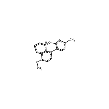 COc1ccc(-c2ccc(C)[c]c2C)c2ccccc12